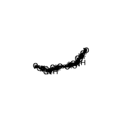 O=C(Oc1ccc(OCC2CO2)cc1)c1cc(C(=O)Cc2ccc(OCCCCOc3ccc(OC(=O)c4cc(C(=O)Oc5ccc(OCC6CO6)cc5)[pH]n4)cc3)cc2)[pH]n1